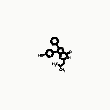 CN(C)Cc1nc2c(-c3ccc(O)cc3)c(-c3ccccc3)sc2c(=O)[nH]1